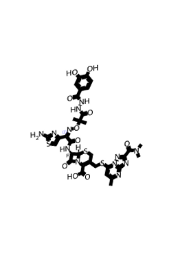 Cc1cc(SCC2=C(C(=O)O)N3C(=O)[C@@H](NC(=O)/C(=N\OC(C)(C)C(=O)NNC(=O)c4ccc(O)c(O)c4)c4csc(N)n4)[C@H]3SC2)n2nc(C(=O)N(C)C)nc2n1